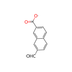 [O]C(=O)c1ccc2ccc([C]=O)cc2c1